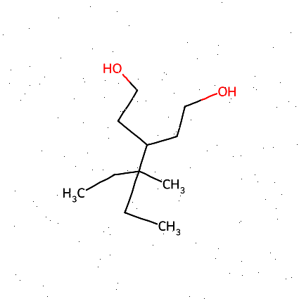 CCC(C)(CC)C(CCO)CCO